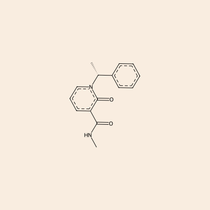 CNC(=O)c1cccn([C@H](C)c2ccccc2)c1=O